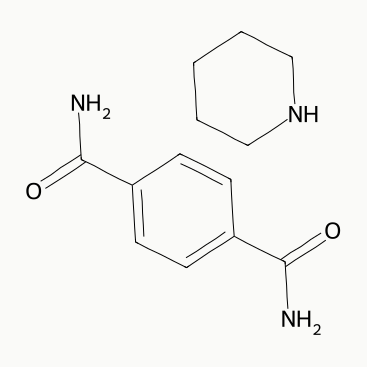 C1CCNCC1.NC(=O)c1ccc(C(N)=O)cc1